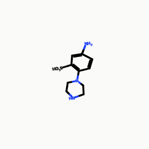 Nc1ccc(N2CCNCC2)c(S(=O)(=O)O)c1